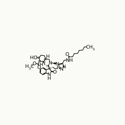 CCCCCCCC(=O)NCc1cn(CC[C@]2([C@@H]3C[C@H]4[C@@H](CC[C@H](O)[C@@H]4C(=O)OC)CN3C#N)C(=O)Nc3ccccc32)nn1